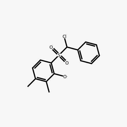 Cc1ccc(S(=O)(=O)C(Cl)c2ccccc2)c([O])c1C